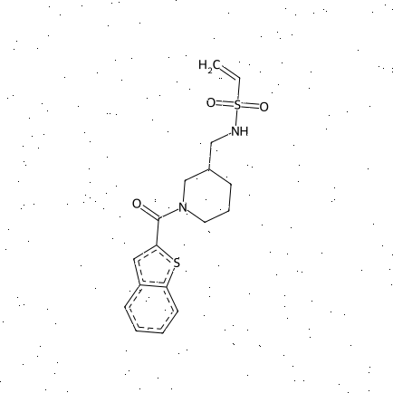 C=CS(=O)(=O)NCC1CCCN(C(=O)c2cc3ccccc3s2)C1